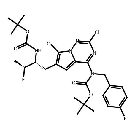 C[C@H](F)[C@@H](Cc1cc2c(N(Cc3ccc(F)cc3)C(=O)OC(C)(C)C)nc(Cl)nn2c1Cl)NC(=O)OC(C)(C)C